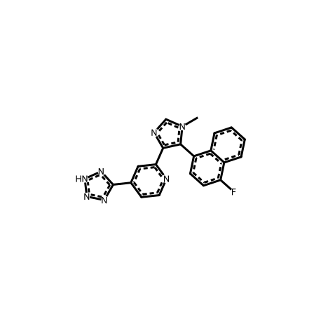 Cn1cnc(-c2cc(-c3nn[nH]n3)ccn2)c1-c1ccc(F)c2ccccc12